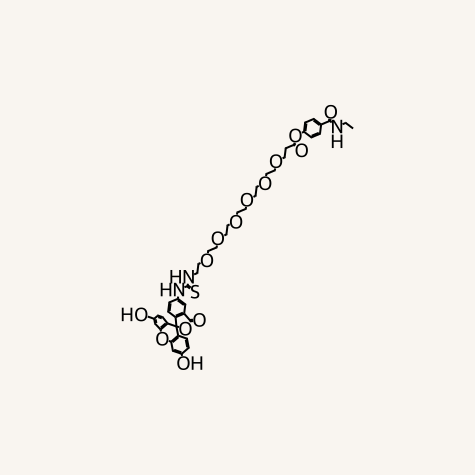 CCNC(=O)c1ccc(OC(=O)CCOCCOCCOCCOCCOCCOCCNC(=S)Nc2ccc3c(c2)C(=O)OC32c3ccc(O)cc3Oc3cc(O)ccc32)cc1